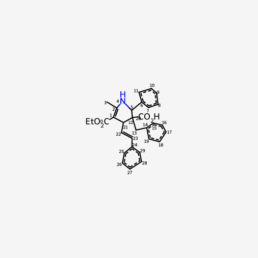 CCOC(=O)C1=C(C)NC(c2ccccc2)C(Cc2ccccc2)(C(=O)O)C1C=Cc1ccccc1